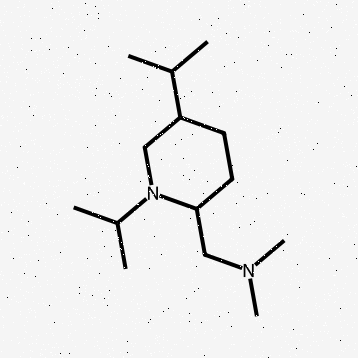 CC(C)C1CCC(CN(C)C)N(C(C)C)C1